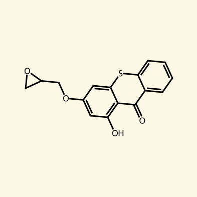 O=c1c2ccccc2sc2cc(OCC3CO3)cc(O)c12